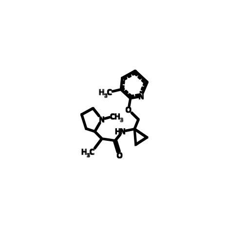 Cc1cccnc1OCC1(NC(=O)C(C)C2CCCN2C)CC1